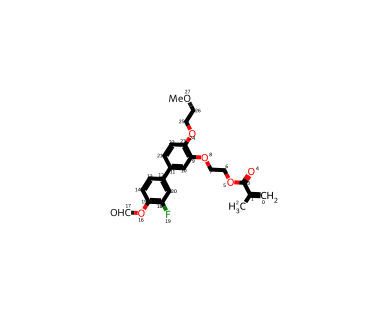 C=C(C)C(=O)OCCOc1cc(-c2ccc(OC=O)c(F)c2)ccc1OCCOC